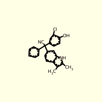 Cc1[nH]c2cc(C(C#N)(c3ccccc3)c3ccc(O)c(Cl)c3)ccc2c1C